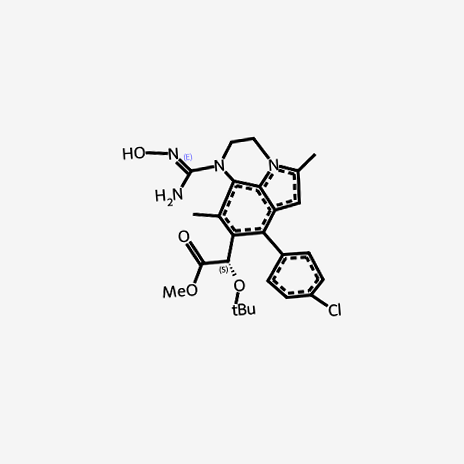 COC(=O)[C@@H](OC(C)(C)C)c1c(C)c2c3c(cc(C)n3CCN2/C(N)=N/O)c1-c1ccc(Cl)cc1